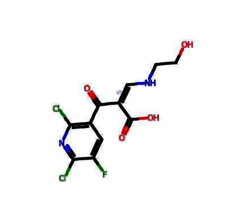 O=C(O)/C(=C\NCCO)C(=O)c1cc(F)c(Cl)nc1Cl